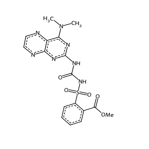 COC(=O)c1ccccc1S(=O)(=O)NC(=O)Nc1nc(N(C)C)c2nccnc2n1